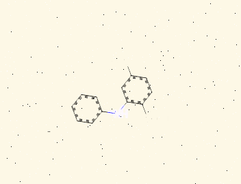 O=S(=O)(O)c1ccc(S(=O)(=O)O)c(Nc2ccccc2)c1